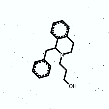 OCCCN1CCc2ccccc2C1Cc1ccccc1